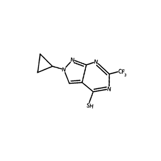 FC(F)(F)c1nc(S)c2cn(C3CC3)nc2n1